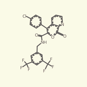 O=C(NCc1cc(C(F)(F)F)cc(C(F)(F)F)c1)c1oc(=O)c2ncccc2c1-c1ccc(Cl)cc1